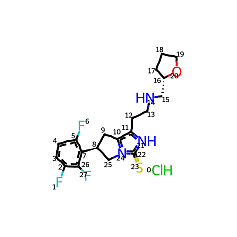 Cl.Fc1ccc(F)c([C@H]2Cc3c(CCNC[C@@H]4CCCO4)[nH]c(=S)n3C2)c1F